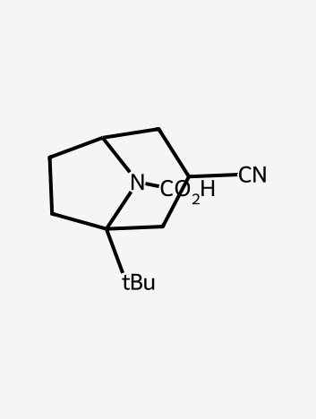 CC(C)(C)C12CCC(CC(C#N)C1)N2C(=O)O